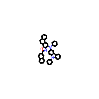 c1ccc(N(c2ccc3c(c2)c2ccccc2n3-c2ccccc2)c2cc3c4ccccc4ccc3c3oc(-c4ccc5ccccc5c4)nc23)cc1